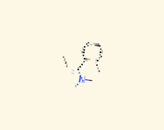 C/C=C(\c1ccccc1C)N(C)C